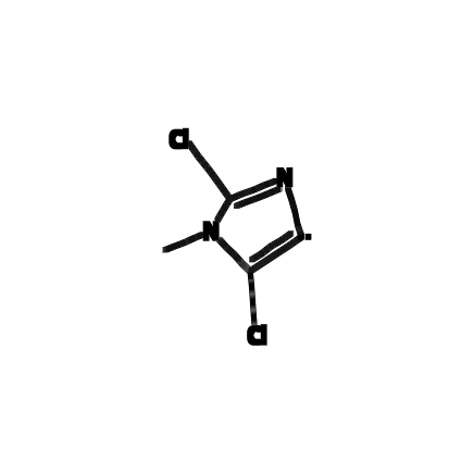 Cn1c(Cl)[c]nc1Cl